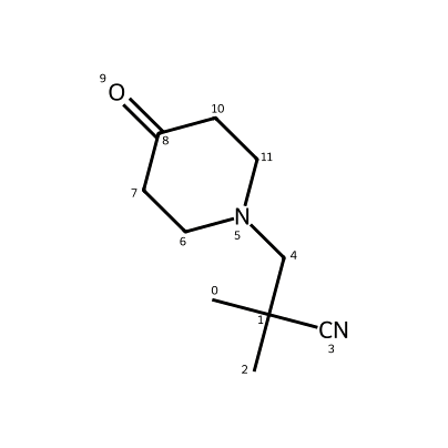 CC(C)(C#N)CN1CCC(=O)CC1